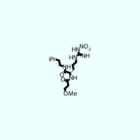 COCCC(=O)N[C@@H](CCCNC(=N)N[N+](=O)[O-])C(=O)N[CH]CC(C)C